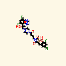 O=C(CCCN1C(=O)SC(=Cc2cc(Cl)cc(Cl)c2O)C1=O)N1CCN(CC(O)(Cn2cncn2)c2ccc(F)cc2F)CC1